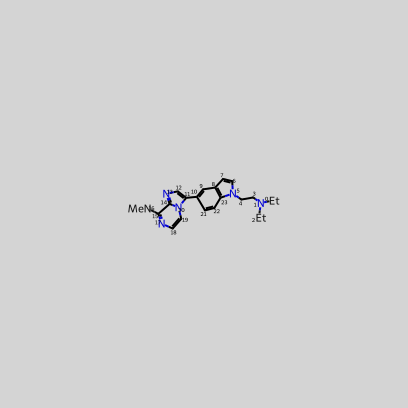 CCN(CC)CCn1ccc2cc(-c3cnc4c(NC)nccn34)ccc21